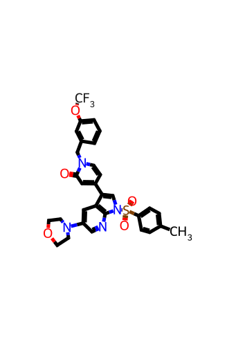 Cc1ccc(S(=O)(=O)n2cc(-c3ccn(Cc4cccc(OC(F)(F)F)c4)c(=O)c3)c3cc(N4CCOCC4)cnc32)cc1